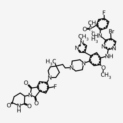 COc1cc(N2CCN(CCC3(C)CCN(c4cc5c(cc4F)C(=O)N(C4CCC(=O)NC4=O)C5=O)CC3)CC2)c(-c2cnn(C)c2)cc1Nc1ncc(Br)c(Nc2ccc(F)cc2P(C)(C)=O)n1